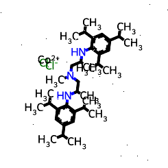 CC(CN(C)CC(C)Nc1c(C(C)C)cc(C(C)C)cc1C(C)C)Nc1c(C(C)C)cc(C(C)C)cc1C(C)C.[Cl-].[Cl-].[Co+2]